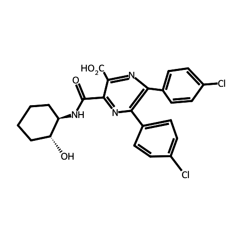 O=C(O)c1nc(-c2ccc(Cl)cc2)c(-c2ccc(Cl)cc2)nc1C(=O)N[C@@H]1CCCC[C@H]1O